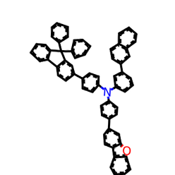 c1ccc(C2(c3ccccc3)c3ccccc3-c3ccc(-c4ccc(N(c5ccc(-c6ccc7c(c6)oc6ccccc67)cc5)c5cccc(-c6ccc7ccccc7c6)c5)cc4)cc32)cc1